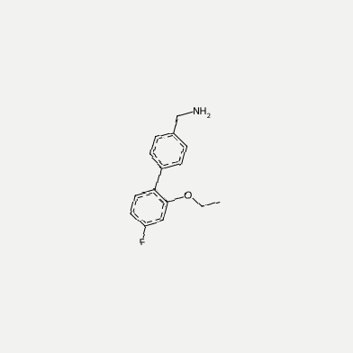 CCOc1cc(F)ccc1-c1ccc(CN)cc1